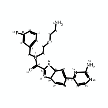 NCCOCCN(Cc1cccc(F)c1)C(=O)C1=NC2C=CC(c3ccnc(N)n3)=CC2S1